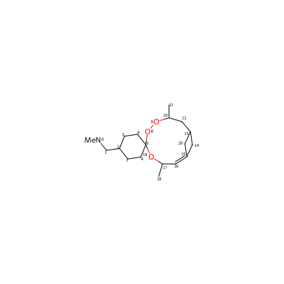 CNCC1CCC2(CC1)OOC(C)CC1CC(=CC(C)O2)C1